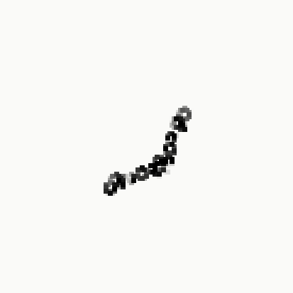 CC(=NOc1ccc(OCc2ccc3ccccc3n2)cc1)C(=O)Oc1ccc(OCc2ccc3ccccc3n2)cc1